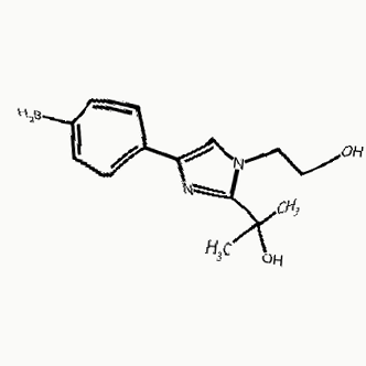 Bc1ccc(-c2cn(CCO)c(C(C)(C)O)n2)cc1